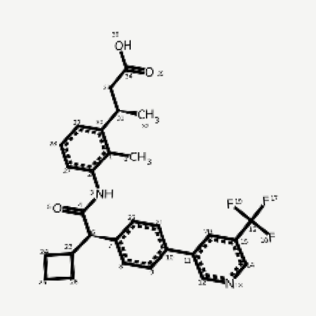 Cc1c(NC(=O)[C@@H](c2ccc(-c3cncc(C(F)(F)F)c3)cc2)C2CCC2)cccc1[C@H](C)CC(=O)O